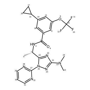 C[C@H](NC(=O)c1cc(OC(F)(F)F)cc(C2CC2)c1)c1nc(N(C)C)nn1-c1ncccn1